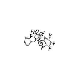 O=C(O)CN(Cc1ccccc1F)S(=O)(=O)c1c(F)c(F)c(F)c(F)c1F